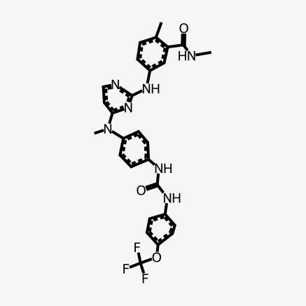 CNC(=O)c1cc(Nc2nccc(N(C)c3ccc(NC(=O)Nc4ccc(OC(F)(F)F)cc4)cc3)n2)ccc1C